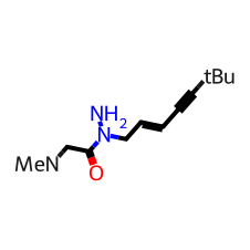 CNCC(=O)N(N)CC=CC#CC(C)(C)C